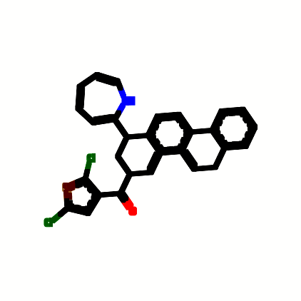 O=C(c1cc(Cl)sc1Cl)C1C=c2c(ccc3c2=CCc2ccccc2-3)C(C2=CC=CC=CN2)C1